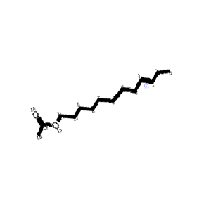 CC/C=C/CCCCCCCCOC(C)=O